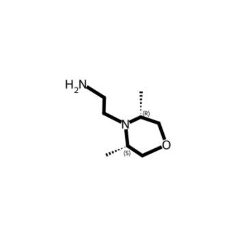 C[C@@H]1COC[C@H](C)N1CCN